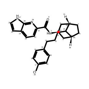 O=C(N[C@@H]1C[C@H]2CC[C@@H](C1)C2CCCc1ccc(Cl)cc1)c1ccc2cc[nH]c2n1